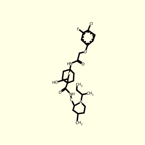 CCC(C)N1CCC(C)CC1CNC(=O)C12CCC(NC(=O)COc3ccc(Cl)c(F)c3)(CC1)CC2O